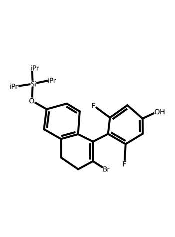 CC(C)[Si](Oc1ccc2c(c1)CCC(Br)=C2c1c(F)cc(O)cc1F)(C(C)C)C(C)C